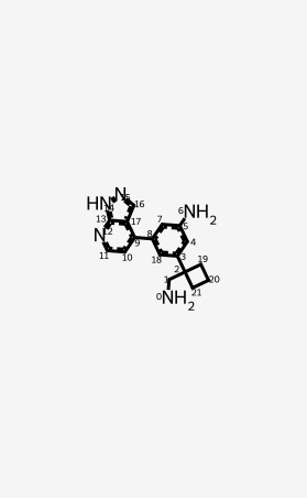 NCC1(c2cc(N)cc(-c3ccnc4[nH]ncc34)c2)CCC1